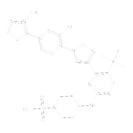 Cn1nccc1-c1ccc(-n2cnc(-c3nc(NC4CCN(S(C)(=O)=O)CC4)ncc3C(F)(F)F)c2)c(Cl)c1